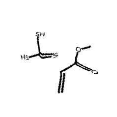 C=CC(=O)OC.S=C(S)S